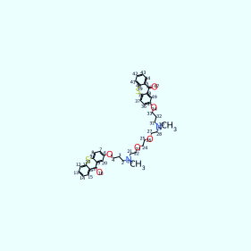 CN(CCCOc1ccc2sc3ccccc3c(=O)c2c1)CCOCCOCCN(C)CCCOc1ccc2sc3ccccc3c(=O)c2c1